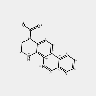 O=C(O)C1CCNc2c1ccc1c2ncc2ccccc21